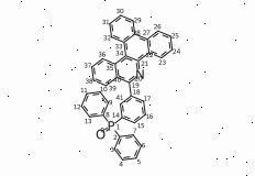 O=P(c1ccccc1)(c1ccccc1)c1cccc(-c2nc3c4ccccc4c4ccccc4c3c3ccccc23)c1